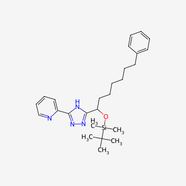 CC(C)(C)[Si](C)(C)OC(CCCCCCc1ccccc1)c1nnc(-c2ccccn2)[nH]1